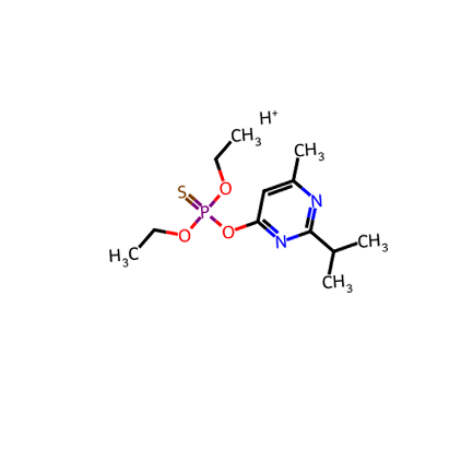 CCOP(=S)(OCC)Oc1cc(C)nc(C(C)C)n1.[H+]